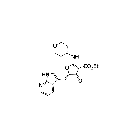 CCOC(=O)C1=C(NC2CCOCC2)O/C(=C\c2c[nH]c3ncccc23)C1=O